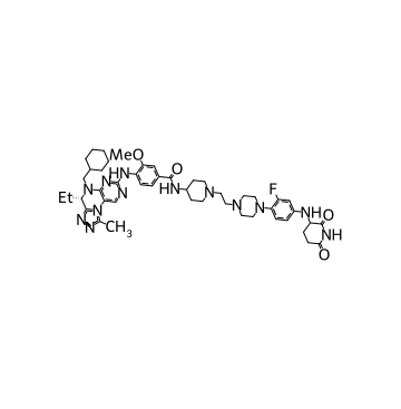 CC[C@H]1c2nnc(C)n2-c2cnc(Nc3ccc(C(=O)NC4CCN(CCN5CCN(c6ccc(NC7CCC(=O)NC7=O)cc6F)CC5)CC4)cc3OC)nc2N1CC1CCCCC1